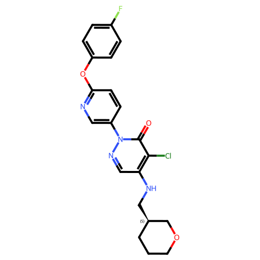 O=c1c(Cl)c(NC[C@@H]2CCCOC2)cnn1-c1ccc(Oc2ccc(F)cc2)nc1